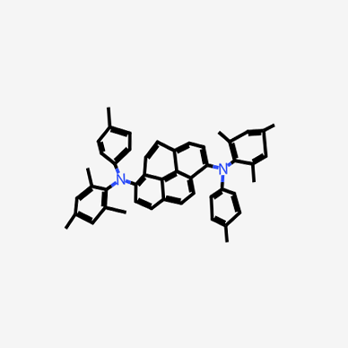 Cc1ccc(N(c2c(C)cc(C)cc2C)c2ccc3ccc4c(N(c5ccc(C)cc5)c5c(C)cc(C)cc5C)ccc5ccc2c3c54)cc1